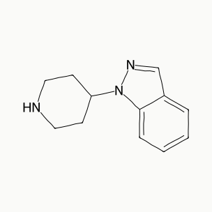 c1ccc2c(c1)cnn2C1CCNCC1